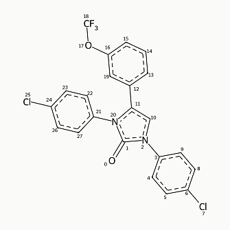 O=c1n(-c2ccc(Cl)cc2)cc(-c2cccc(OC(F)(F)F)c2)n1-c1ccc(Cl)cc1